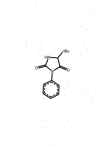 CCCCC1NC(=O)N(c2ccccc2)C1=O